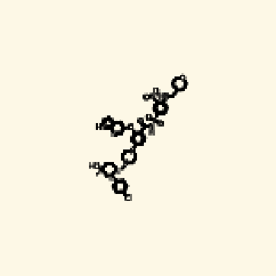 C[C@]1(O)CC[C@H](CN2CCN(c3ccc(C(=O)NS(=O)(=O)c4ccc(NCC5CCOCC5)c([N+](=O)[O-])c4)c(Oc4cnc5[nH]ccc5c4)c3)CC2)[C@@H](c2ccc(Cl)cc2)C1